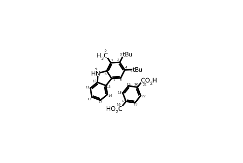 Cc1c(C(C)(C)C)c(C(C)(C)C)cc2c1[nH]c1ccccc12.O=C(O)c1ccc(C(=O)O)cc1